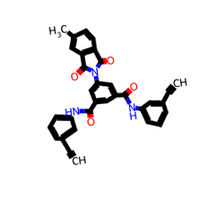 C#Cc1cccc(NC(=O)c2cc(C(=O)Nc3cccc(C#C)c3)cc(N3C(=O)c4ccc(C)cc4C3=O)c2)c1